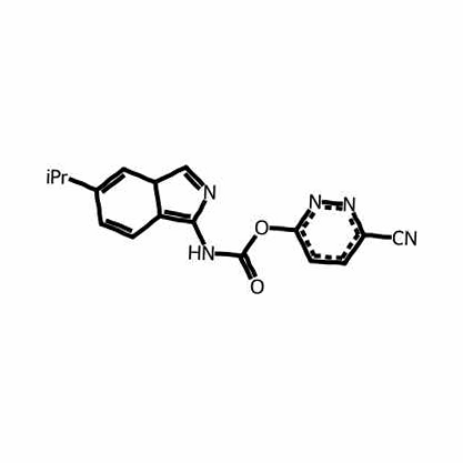 CC(C)C1=CC2C=NC(NC(=O)Oc3ccc(C#N)nn3)=C2C=C1